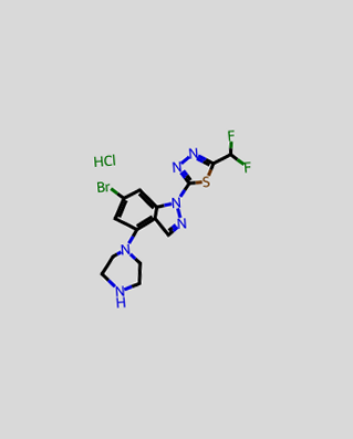 Cl.FC(F)c1nnc(-n2ncc3c(N4CCNCC4)cc(Br)cc32)s1